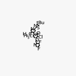 Cc1cnc(-c2nc(C(C)(C)C)cs2)cc1-n1c(C)cc(OCc2ncc(F)cc2F)c(Cl)c1=O